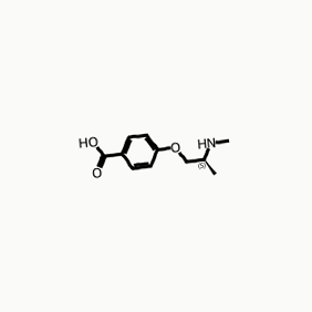 CN[C@@H](C)COc1ccc(C(=O)O)cc1